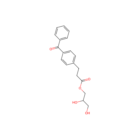 O=C(CCc1ccc(C(=O)c2ccccc2)cc1)OCC(O)CO